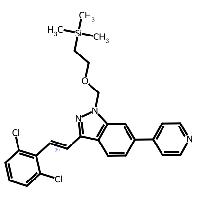 C[Si](C)(C)CCOCn1nc(/C=C/c2c(Cl)cccc2Cl)c2ccc(-c3ccncc3)cc21